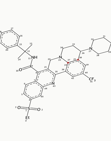 CCS(=O)(=O)c1ccc2c(C(=O)NC(C)(C)c3ccccc3)c(CN3CCC(N4CCCCC4)CC3)c(-c3cccc(C(F)(F)F)c3)nc2c1